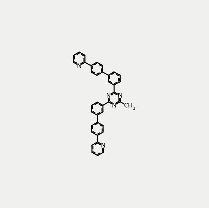 Cc1nc(-c2cccc(-c3ccc(-c4ccccn4)cc3)c2)nc(-c2cccc(-c3ccc(-c4ccccn4)cc3)c2)n1